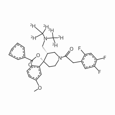 [2H]C([2H])([2H])N(C[C@@H]1CN(C(=O)Cc2cc(F)c(F)cc2F)CC[C@@]1(OC(=O)c1ccccc1)c1cccc(OC)c1)C([2H])([2H])[2H]